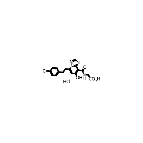 Cl.O=C(O)CNC(=O)c1c(O)cc(CCc2ccc(Cl)cc2)n2ncnc12